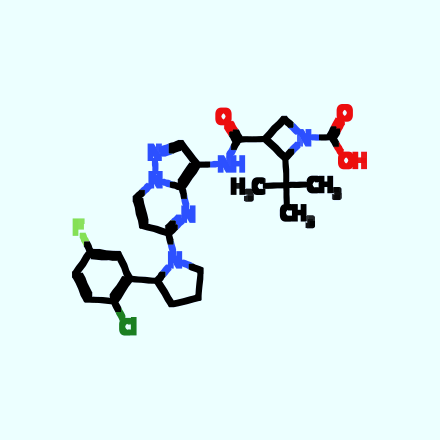 CC(C)(C)C1C(C(=O)Nc2cnn3ccc(N4CCCC4c4cc(F)ccc4Cl)nc23)CN1C(=O)O